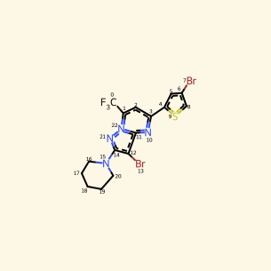 FC(F)(F)c1cc(-c2cc(Br)cs2)nc2c(Br)c(N3CCCCC3)nn12